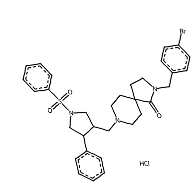 Cl.O=C1N(Cc2ccc(Br)cc2)CCC12CCN(CC1CN(S(=O)(=O)c3ccccc3)CC1c1ccccc1)CC2